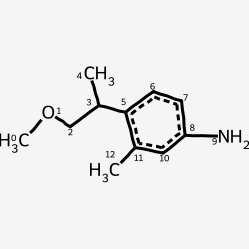 COCC(C)c1ccc(N)cc1C